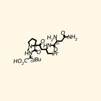 CC[C@H](C)[C@H](NC(=O)[C@]1(C(=O)CC(CC(C)C)NC(=O)[C@@H](N)CC(N)=O)CCCN1C)C(=O)O